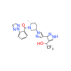 C[C@@H]1CC[C@@H](n2cc(-c3n[nH]cc3C(O)C(F)(F)F)cn2)CN1C(=O)c1ccccc1-n1nccn1